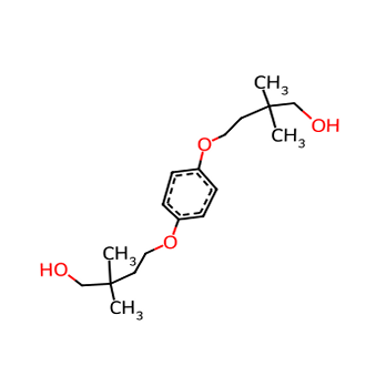 CC(C)(CO)CCOc1ccc(OCCC(C)(C)CO)cc1